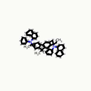 CCC1(N(c2ccccc2)c2cccc3ccccc23)Cc2cc3c(cc21)C(C)(C)c1cc2c(cc1-3)C2(C)N(c1ccccc1)c1cccc2ccccc12